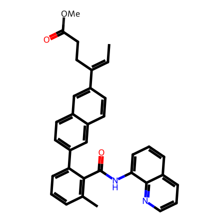 CC=C(CCC(=O)OC)c1ccc2cc(-c3cccc(C)c3C(=O)Nc3cccc4cccnc34)ccc2c1